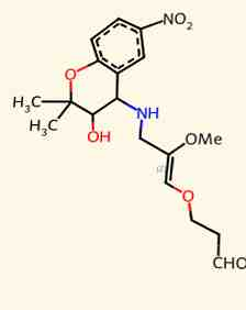 CO/C(=C\OCCC=O)CNC1c2cc([N+](=O)[O-])ccc2OC(C)(C)C1O